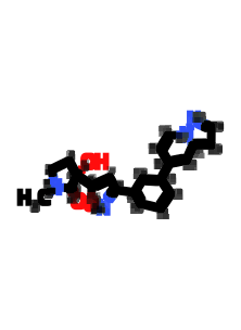 CN1CCC(O)(c2cc(-c3cccc(-c4ccn5nccc5c4)c3)no2)C1=O